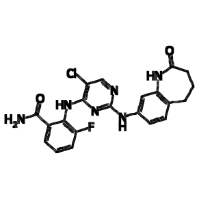 NC(=O)c1cccc(F)c1Nc1nc(Nc2ccc3c(c2)NC(=O)CCC3)ncc1Cl